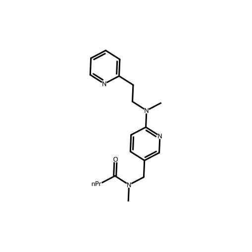 CCCC(=O)N(C)Cc1ccc(N(C)CCc2ccccn2)nc1